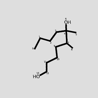 CCCCC(C)(O)C(C)CCCCO